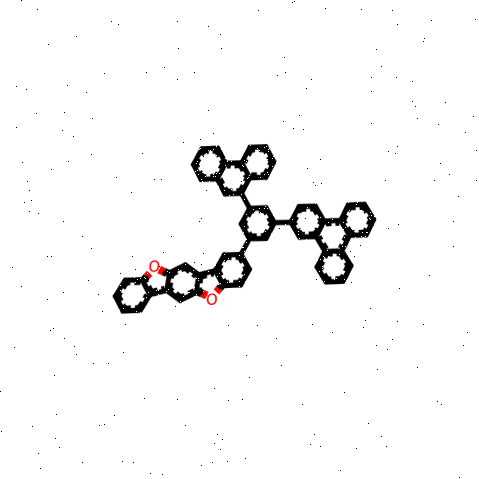 c1ccc2c(c1)cc(-c1cc(-c3ccc4oc5cc6c(cc5c4c3)oc3ccccc36)cc(-c3ccc4c5ccccc5c5ccccc5c4c3)c1)c1ccccc12